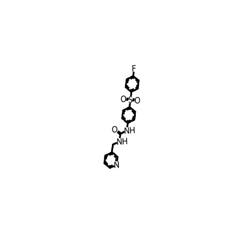 O=C(NCc1cccnc1)Nc1ccc(S(=O)(=O)c2ccc(F)cc2)cc1